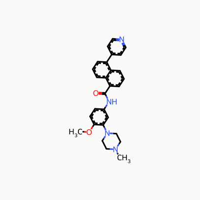 COc1ccc(NC(=O)c2cccc3c(-c4ccncc4)cccc23)cc1N1CCN(C)CC1